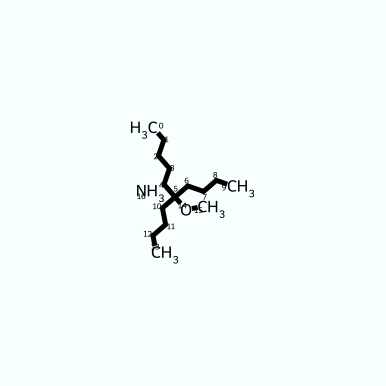 CCCCCC(CCCC)(CCCC)OC.N